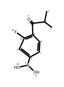 CC(C)C(=O)c1ccc(B(O)O)cc1F